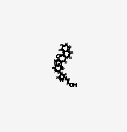 OCCn1cc(-c2ccc3ncc(Cc4ccc5ncccc5c4Cl)n3n2)cn1